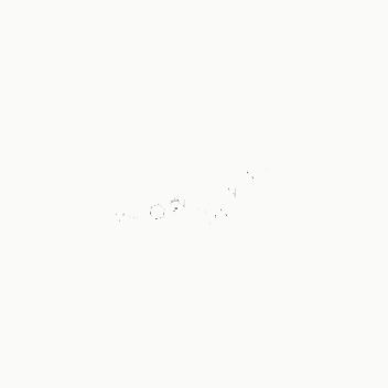 COc1cc(C)c(S(=O)(=O)N(C)CCOCC(=O)N(C)C2CCN(C3CCN(C4CCOC4)CC3)C2)c(C)c1